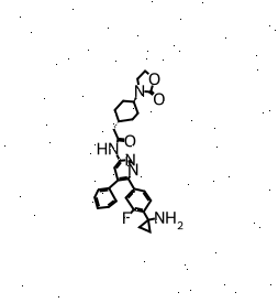 NC1(c2ccc(-c3nnc(NC(=O)C[C@H]4CC[C@H](N5CCOC5=O)CC4)cc3-c3ccccc3)cc2F)CC1